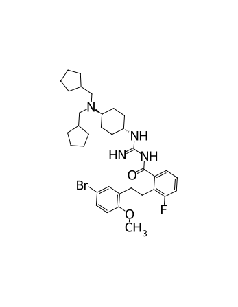 COc1ccc(Br)cc1CCc1c(F)cccc1C(=O)NC(=N)N[C@H]1CC[C@H](N(CC2CCCC2)CC2CCCC2)CC1